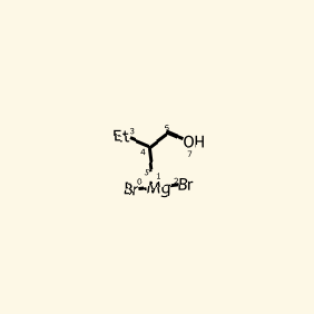 [Br][Mg][Br].[CH2]CC(C)CO